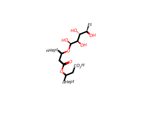 CCCCCCCC(CC(=O)O)OC(=O)CC(CCCCCCC)O[C@@H](O)[C@H](O)[C@H](O)[C@H](O)CC